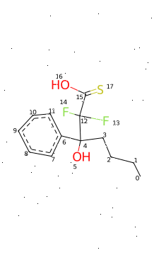 CCCCC(O)(c1ccccc1)C(F)(F)C(O)=S